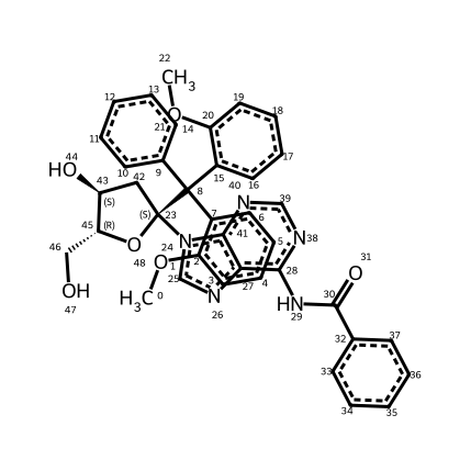 COc1ccccc1C(c1ccccc1)(c1ccccc1OC)[C@]1(n2cnc3c(NC(=O)c4ccccc4)ncnc32)C[C@H](O)[C@@H](CO)O1